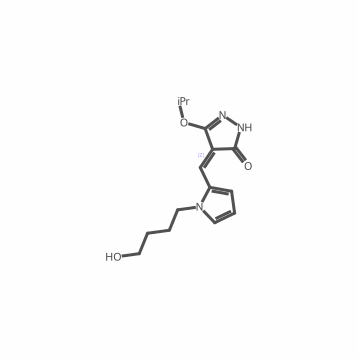 CC(C)OC1=NNC(=O)/C1=C\c1cccn1CCCCO